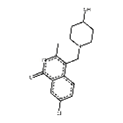 Cc1[nH]c(=O)c2cc(Cl)ccc2c1CN1CCC(O)CC1